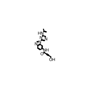 C=C(C)Nc1cncc(-n2cnc3ccc(NC(=O)C#CCO)cc32)n1